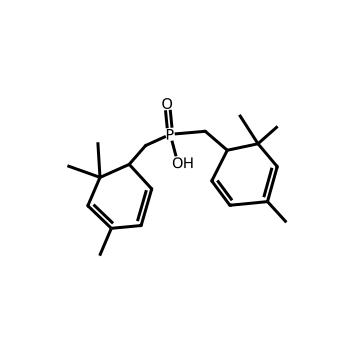 CC1=CC(C)(C)C(CP(=O)(O)CC2C=CC(C)=CC2(C)C)C=C1